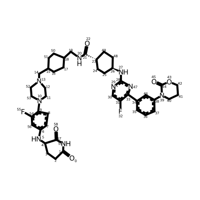 O=C1CCC(Nc2ccc(N3CCN(CC4CCC(CNC(=O)[C@H]5CC[C@H](Nc6ncc(F)c(-c7cccc(N8CCCOC8=O)c7)n6)CC5)CC4)CC3)c(F)c2)C(=O)N1